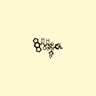 CN1CC(N(c2cnn(C)c2)S(=O)(=O)NC(=O)Nc2c3c(cc4c2CCC4)CCC3)C1